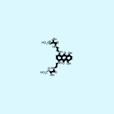 CCC(C)C(NC(=O)O)C(=O)NCCNc1ccc(NCCNC(=O)C(NC(=O)O)C(C)CC)c2c1C(=O)c1c(O)ccc(O)c1C2=O